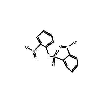 O=[N+]([O-])c1ccccc1OS(=O)(=O)c1ccccc1[N+](=O)[O-]